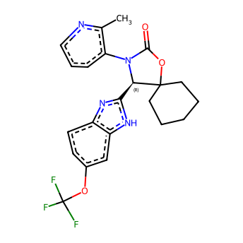 Cc1ncccc1N1C(=O)OC2(CCCCC2)[C@H]1c1nc2ccc(OC(F)(F)F)cc2[nH]1